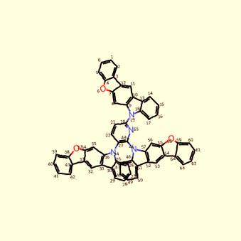 c1ccc2c(c1)oc1cc3c(cc12)c1ccccc1n3-c1ccc(-n2c3ccccc3c3cc4c(cc32)oc2ccccc24)c(-n2c3ccccc3c3cc4c(cc32)oc2ccccc24)n1